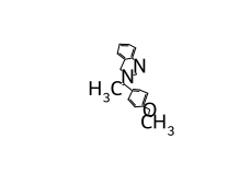 COc1ccc(C(C)N2C=Nc3ccccc3C2)cc1